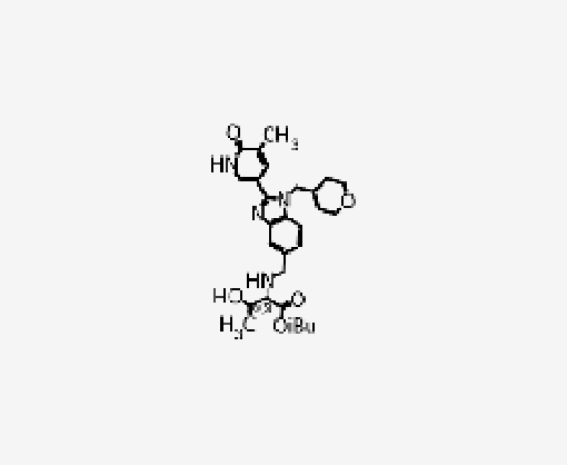 Cc1cc(-c2nc3cc(CN[C@H](C(=O)OCC(C)C)[C@@H](C)O)ccc3n2CC2CCOCC2)c[nH]c1=O